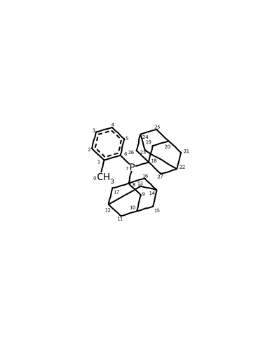 Cc1ccccc1P(C12CC3CC(CC(C3)C1)C2)C12CC3CC(CC(C3)C1)C2